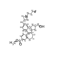 COC(=O)c1ccc2c(c1)CCCC(C1CCC(CO)C1)=C2c1ccc(CC2CN(CCCF)C2)cc1